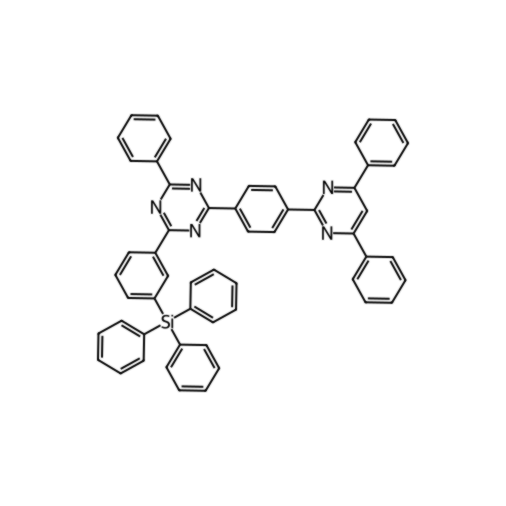 c1ccc(-c2cc(-c3ccccc3)nc(-c3ccc(-c4nc(-c5ccccc5)nc(-c5cccc([Si](c6ccccc6)(c6ccccc6)c6ccccc6)c5)n4)cc3)n2)cc1